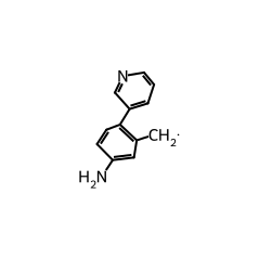 [CH2]c1cc(N)ccc1-c1cccnc1